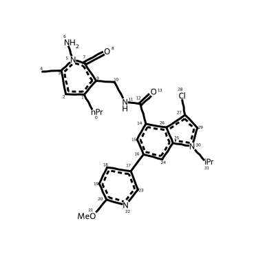 CCCc1cc(C)n(N)c(=O)c1CNC(=O)c1cc(-c2ccc(OC)nc2)cc2c1c(Cl)cn2C(C)C